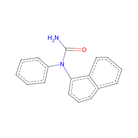 NC(=O)N(c1[c]cccc1)c1cccc2ccccc12